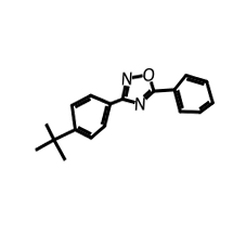 CC(C)(C)c1ccc(-c2noc(-c3ccccc3)n2)cc1